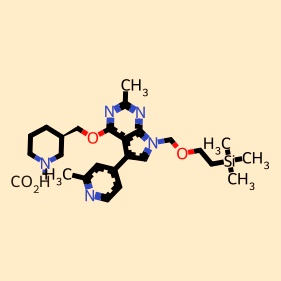 Cc1cc(-c2cn(COCC[Si](C)(C)C)c3nc(C)nc(OC[C@@H]4CCCN(C(=O)O)C4)c23)ccn1